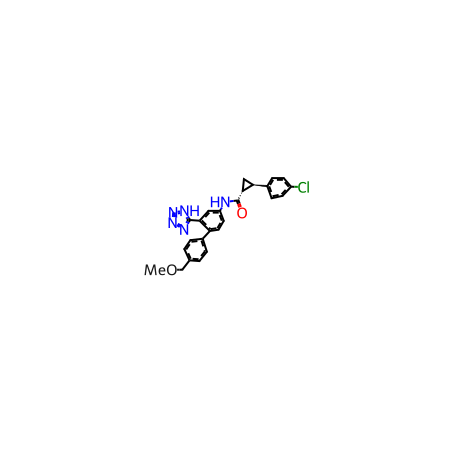 COCc1ccc(-c2ccc(NC(=O)[C@@H]3C[C@H]3c3ccc(Cl)cc3)cc2-c2nnn[nH]2)cc1